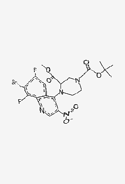 COC(=O)C1CN(C(=O)OC(C)(C)C)CCN1c1c([N+](=O)[O-])cnc2c(F)c(Br)c(F)cc12